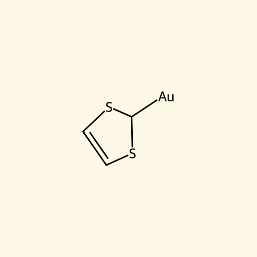 [Au][CH]1SC=CS1